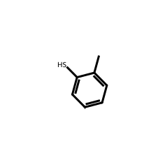 Cc1cc[c]cc1S